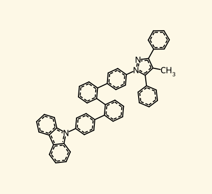 Cc1c(-c2ccccc2)nn(-c2ccc(-c3ccccc3-c3ccccc3-c3ccc(-n4c5ccccc5c5ccccc54)cc3)cc2)c1-c1ccccc1